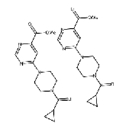 COC(=O)c1cc(N2CCN(C(=O)C3CC3)CC2)ncn1.COC(=O)c1cc(N2CCN(C(=O)C3CC3)CC2)ncn1